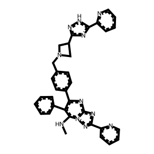 CNc1c(-c2ccccc2)c(-c2ccc(CN3CC(c4n[nH]c(-c5ccccn5)n4)C3)cc2)nc2nc(-c3ccccn3)nn12